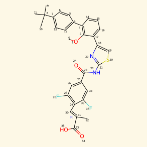 COc1c(-c2ccc(C(C)(C)C)cc2)cccc1-c1csc(NC(=O)c2cc(F)c(/C=C(\C)C(=O)O)c(F)c2)n1